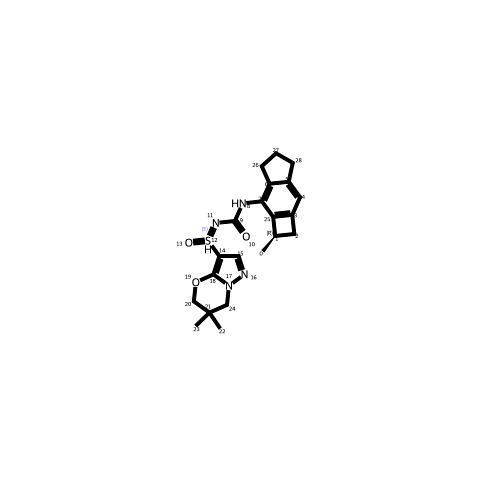 C[C@@H]1Cc2cc3c(c(NC(=O)/N=[SH](=O)\c4cnn5c4OCC(C)(C)C5)c21)CCC3